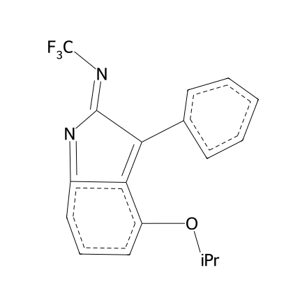 CC(C)Oc1cccc2c1=C(c1ccccc1)C(=NC(F)(F)F)N=2